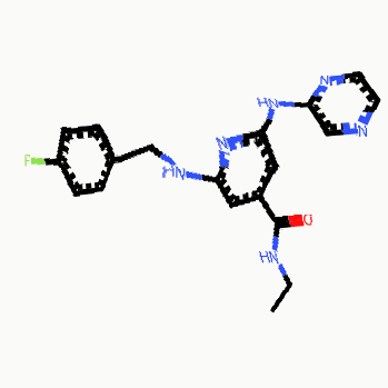 CCNC(=O)c1cc(NCc2ccc(F)cc2)nc(Nc2cnccn2)c1